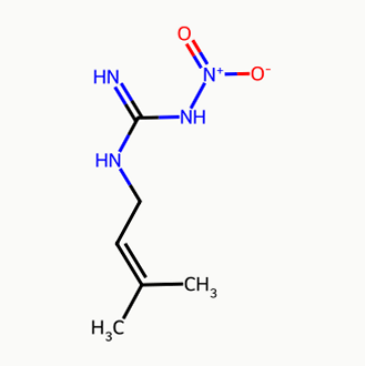 CC(C)=CCNC(=N)N[N+](=O)[O-]